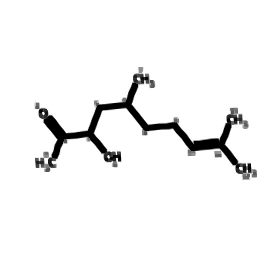 CC(=O)C(O)CC(C)CCC=C(C)C